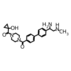 CNCC(N)c1ccc(-c2ccc(C(=O)N3CCN(C(=O)C4(O)CC4)CC3)cc2)cc1